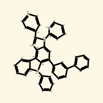 c1ccc(-c2cccc(-c3cc4c(nc(-c5ccncc5)n4-c4ccccn4)c4c5ccccc5n(-c5ccccc5)c34)c2)cc1